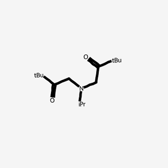 CC(C)N(CC(=O)C(C)(C)C)CC(=O)C(C)(C)C